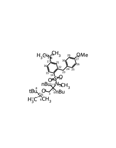 CCCCC(CCCC)(CO[Si](C)(C)C(C)(C)C)N(C)S(=O)(=O)c1ccc(N(C)C)cc1Cc1ccc(OC)cc1